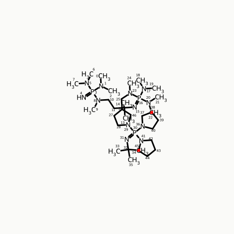 CN(C)P(=N)(N(C)C)N(C)CCC(C)(C)N=P(N(C)C)(N(C)C)N(C)CC1CCN(P(=NC(C)(C)C)(N2CCCC2)N2CCCC2)C1